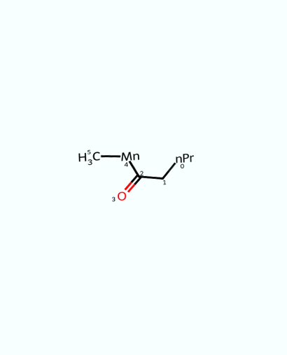 CCCC[C](=O)[Mn][CH3]